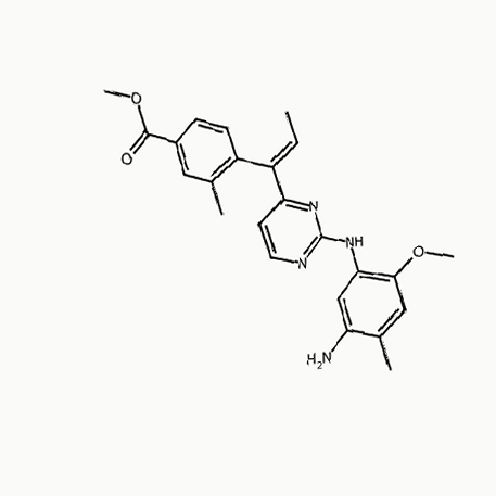 C/C=C(/c1ccnc(Nc2cc(N)c(C)cc2OC)n1)c1ccc(C(=O)OC)cc1C